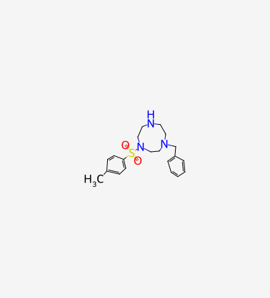 Cc1ccc(S(=O)(=O)N2CCNCCN(Cc3ccccc3)CC2)cc1